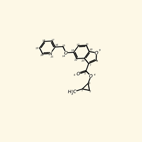 CC1CC1OC(=O)c1coc2ccc(OCc3ccccn3)cc12